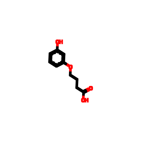 O=C(O)CCCOc1cccc(O)c1